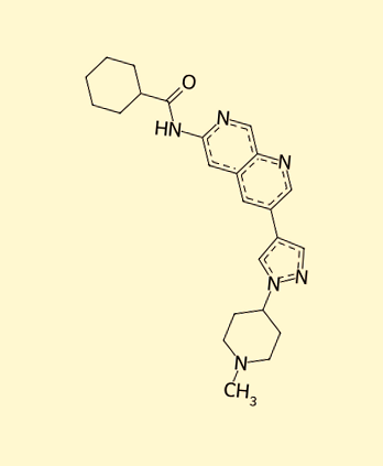 CN1CCC(n2cc(-c3cnc4cnc(NC(=O)C5CCCCC5)cc4c3)cn2)CC1